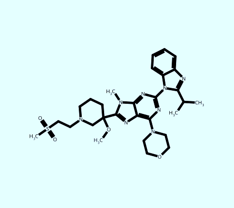 COC1(c2nc3c(N4CCOCC4)nc(-n4c(C(C)C)nc5ccccc54)nc3n2C)CCCN(CCS(C)(=O)=O)C1